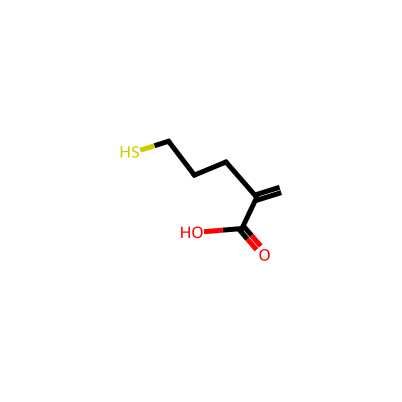 C=C(CCCS)C(=O)O